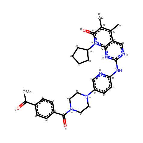 COC(=O)c1ccc(C(=O)N2CCN(c3ccc(Nc4ncc5c(C)c(C(C)=O)c(=O)n(C6CCCC6)c5n4)nc3)CC2)cc1